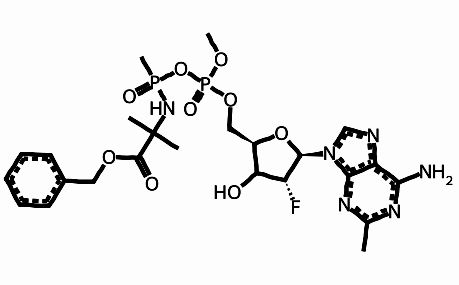 COP(=O)(OC[C@H]1O[C@@H](n2cnc3c(N)nc(C)nc32)[C@H](F)C1O)OP(C)(=O)NC(C)(C)C(=O)OCc1ccccc1